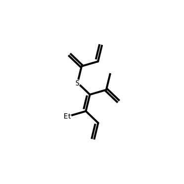 C=CC(=C)S/C(C(=C)C)=C(/C=C)CC